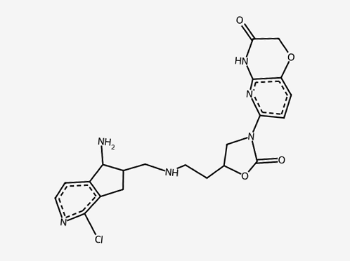 NC1c2ccnc(Cl)c2CC1CNCCC1CN(c2ccc3c(n2)NC(=O)CO3)C(=O)O1